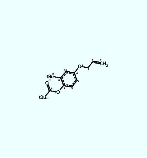 C=CCOc1ccc(OC(=O)C(C)(C)C)c(C(C)(C)C)c1